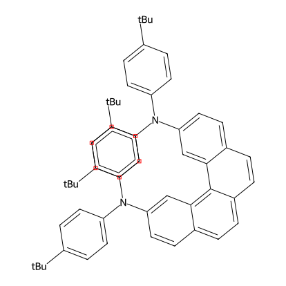 CC(C)(C)c1ccc(N(c2ccc(C(C)(C)C)cc2)c2ccc3ccc4ccc5ccc(N(c6ccc(C(C)(C)C)cc6)c6ccc(C(C)(C)C)cc6)cc5c4c3c2)cc1